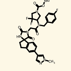 Cn1cc(-c2ccc3c(c2)CCC32NC(=O)N(CC(=O)N(Cc3ccc(F)cc3)C3CN(C(=O)OC(C)(C)C)CC3(F)F)C2=O)cn1